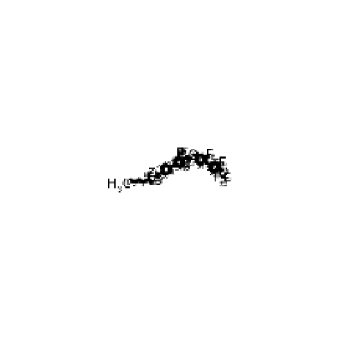 CCCCCC1COC(c2ccc(-c3cc(F)c(C(F)(F)Oc4ccc(-c5ccc(OC(F)(F)F)c(F)c5)c(F)c4)c(F)c3)cc2)OC1